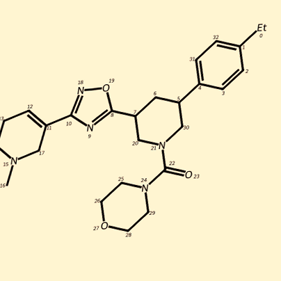 CCc1ccc(C2CC(c3nc(C4=CCCN(C)C4)no3)CN(C(=O)N3CCOCC3)C2)cc1